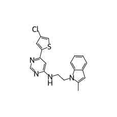 Cc1cc2ccccc2n1CCNc1cc(-c2cc(Cl)cs2)ncn1